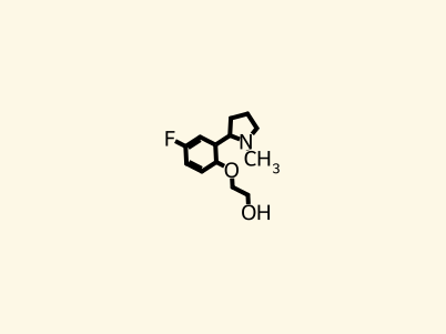 CN1CCCC1C1C=C(F)C=CC1OCCO